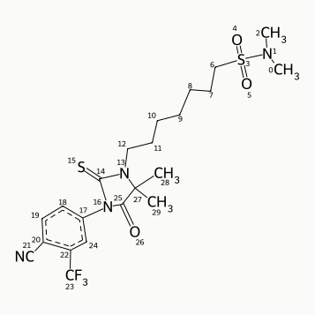 CN(C)S(=O)(=O)CCCCCCCN1C(=S)N(c2ccc(C#N)c(C(F)(F)F)c2)C(=O)C1(C)C